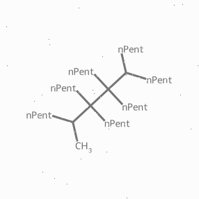 CCCCC[C](CCCCC)C(CCCCC)(CCCCC)C(CCCCC)(CCCCC)C(C)CCCCC